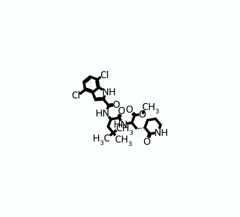 COC(=O)C(C[C@@H]1CCCNC1=O)NC(=O)C(CC(C)(C)C)NC(=O)c1cc2c(Cl)ccc(Cl)c2[nH]1